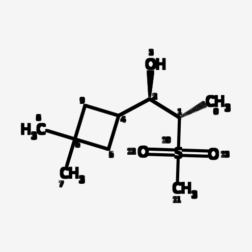 C[C@@H]([C@H](O)C1CC(C)(C)C1)S(C)(=O)=O